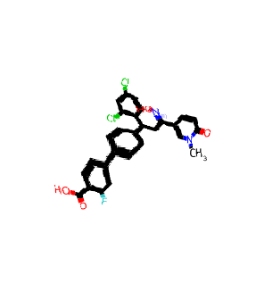 Cn1cc(/C(CC(c2ccc(-c3ccc(C(=O)O)c(F)c3)cc2)c2ccc(Cl)cc2Cl)=N/O)ccc1=O